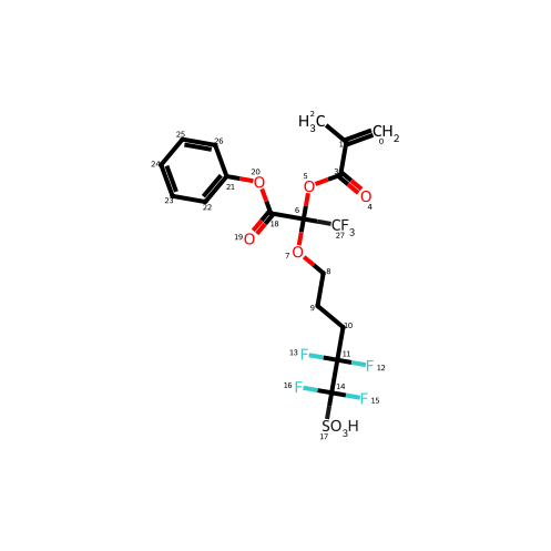 C=C(C)C(=O)OC(OCCCC(F)(F)C(F)(F)S(=O)(=O)O)(C(=O)Oc1ccccc1)C(F)(F)F